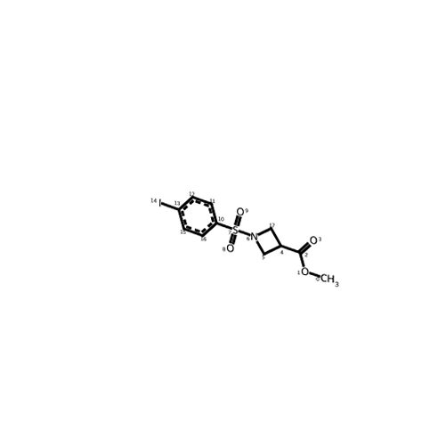 COC(=O)C1CN(S(=O)(=O)c2ccc(I)cc2)C1